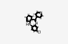 Clc1ccc2c(c1)N=C(c1ccncc1)C1C=CC=CC1N2